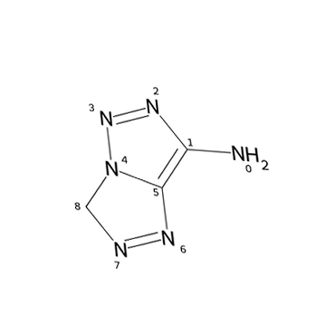 Nc1nnn2c1N=NC2